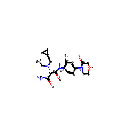 CC(C)CN(CC1CC1)[C@@H](C(N)=O)C(=O)Nc1ccc(N2CCOCC2=O)cc1C(F)(F)F